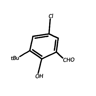 CC(C)(C)c1cc(Cl)cc(C=O)c1O